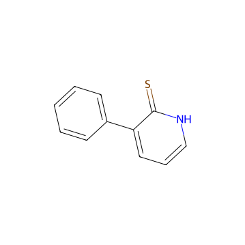 S=c1[nH]cccc1-c1ccccc1